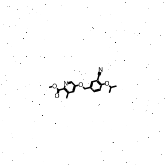 COC(=O)c1ncc(OCc2ccc(OC(C)C)c(C#N)c2)cc1C